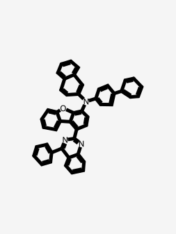 c1ccc(-c2ccc(N(c3ccc4ccccc4c3)c3ccc(-c4nc(-c5ccccc5)c5ccccc5n4)c4c3oc3ccccc34)cc2)cc1